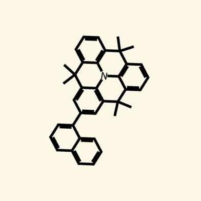 CC1(C)c2cccc3c2N2c4c1cccc4C(C)(C)c1cc(-c4cccc5ccccc45)cc(c12)C3(C)C